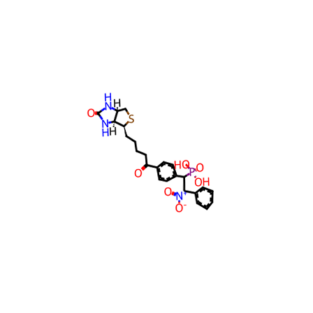 O=C1N[C@H]2[C@H](CS[C@H]2CCCCC(=O)c2ccc(C(C(c3ccccc3)[N+](=O)[O-])P(=O)(O)O)cc2)N1